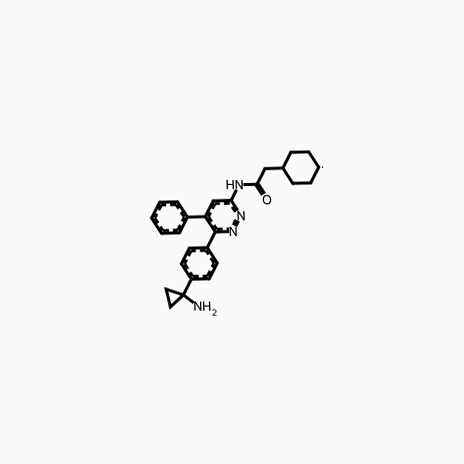 NC1(c2ccc(-c3nnc(NC(=O)CC4CC[CH]CC4)cc3-c3ccccc3)cc2)CC1